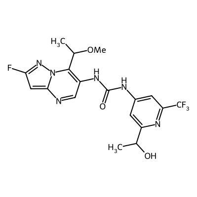 COC(C)c1c(NC(=O)Nc2cc(C(C)O)nc(C(F)(F)F)c2)cnc2cc(F)nn12